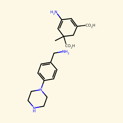 CC1(C(=O)O)C=C(N)C=C(C(=O)O)C1.NCc1ccc(N2CCNCC2)cc1